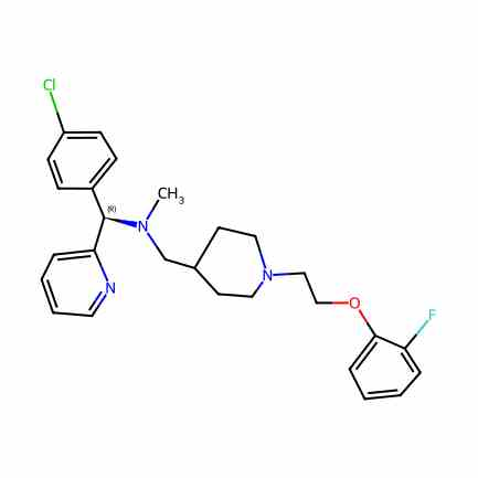 CN(CC1CCN(CCOc2ccccc2F)CC1)[C@H](c1ccc(Cl)cc1)c1ccccn1